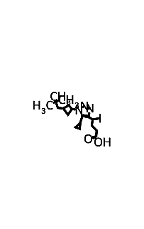 CC(C)(C)CC1CC(n2nnc(C(I)CCC(=O)O)c2C2CC2)C1